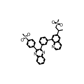 CC(CS(C)(=O)=O)c1cc(-c2cccc(-c3nc4ccccc4nc3-c3ccc(S(C)(=O)=O)cc3)c2)c2ncccc2c1